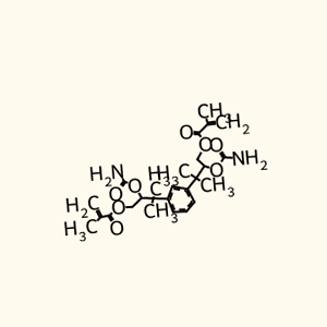 C=C(C)C(=O)OCC(OC(N)=O)C(C)(C)c1cccc(C(C)(C)C(COC(=O)C(=C)C)OC(N)=O)c1